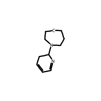 C1=CCC(N2CCCCCC2)N=C1